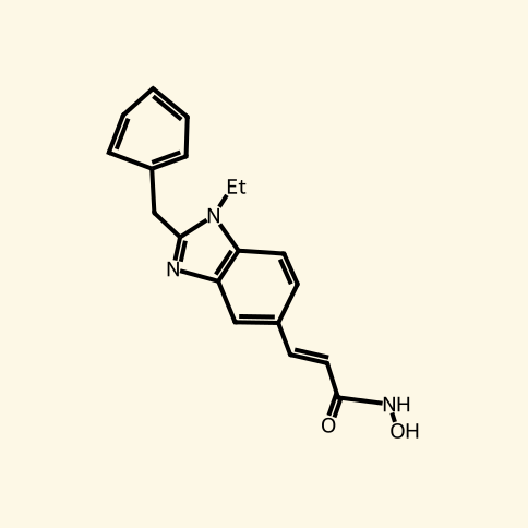 CCn1c(Cc2ccccc2)nc2cc(/C=C/C(=O)NO)ccc21